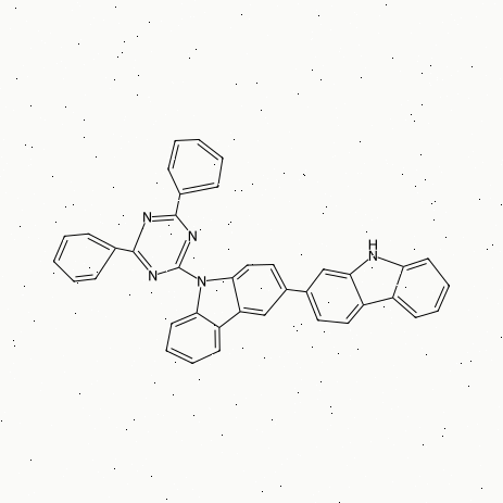 c1ccc(-c2nc(-c3ccccc3)nc(-n3c4ccccc4c4cc(-c5ccc6c(c5)[nH]c5ccccc56)ccc43)n2)cc1